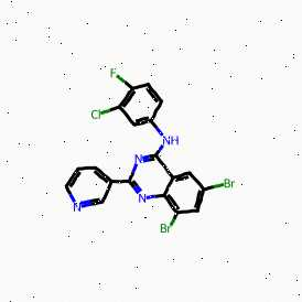 Fc1ccc(Nc2nc(-c3cccnc3)nc3c(Br)cc(Br)cc23)cc1Cl